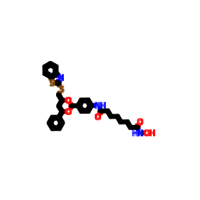 O=C(CCCCCCC(=O)Nc1ccc(C2OC(CSc3nc4ccccc4s3)CC(c3ccccc3)O2)cc1)NO